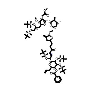 C=CCC1O[C@@H](C(/C=C/C(=O)CCC2CC(=C)[C@H](CC[C@H]3C[C@@H](C)C(=C)[C@@H](C[C@@H]4OC(C[C@@H](CO[Si](C)(C)C(C)(C)C)O[Si](C)(C)C(C)(C)C)[C@H](OC)[C@H]4CC(=O)OC)O3)O2)O[Si](C)(C)C(C)(C)C)C(O[Si](C)(C)C(C)(C)C)C(O[Si](C)(C)C(C)(C)C)[C@H]1OC(=O)c1ccccc1